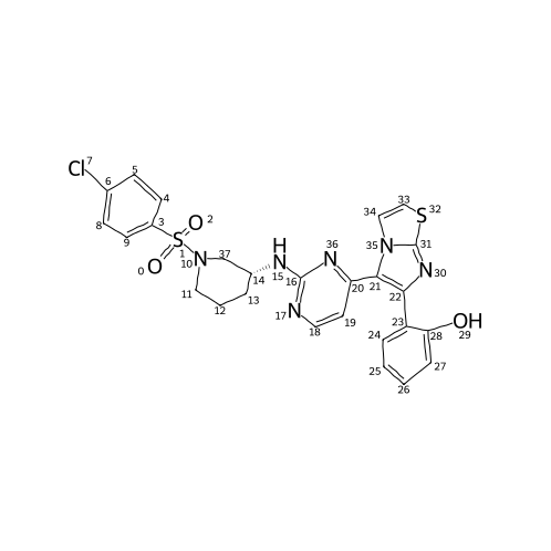 O=S(=O)(c1ccc(Cl)cc1)N1CCC[C@@H](Nc2nccc(-c3c(-c4ccccc4O)nc4sccn34)n2)C1